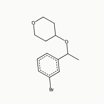 CC(OC1CCOCC1)c1cccc(Br)c1